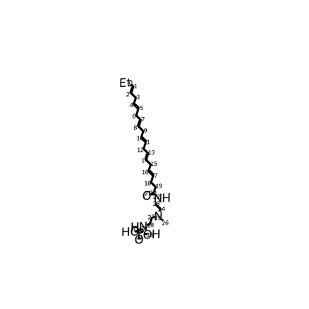 CCC=CCC=CCC=CCC=CCC=CCC=CCCC(=O)NCCN(C)CCNP(=O)(O)O